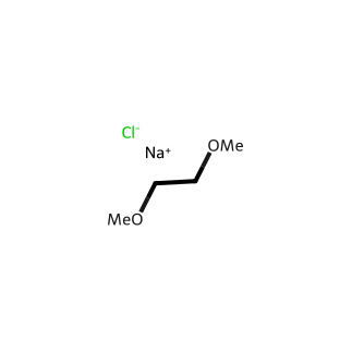 COCCOC.[Cl-].[Na+]